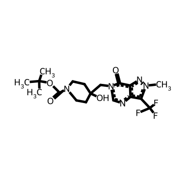 Cn1nc2c(=O)n(CC3(O)CCN(C(=O)OC(C)(C)C)CC3)cnc2c1C(F)(F)F